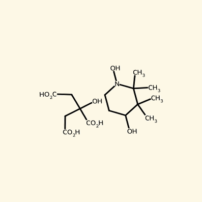 CC1(C)C(O)CCN(O)C1(C)C.O=C(O)CC(O)(CC(=O)O)C(=O)O